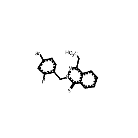 O=C(O)Cc1nn(Cc2ccc(Br)cc2F)c(=S)c2ccccc12